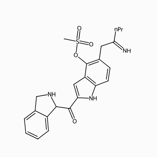 CCCC(=N)Cc1ccc2[nH]c(C(=O)C3NCc4ccccc43)cc2c1OS(C)(=O)=O